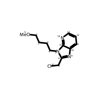 COCCCCn1c(CCl)nc2cccnc21